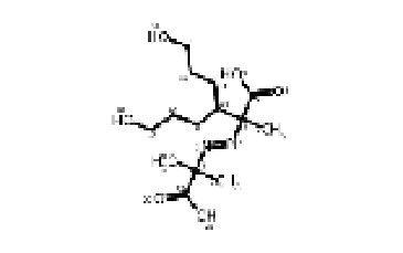 CC(C)(N=NC(C)(C(=O)O)C(CCCO)CCCO)C(=O)O